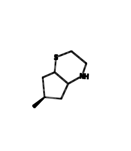 C[C@@H]1CC2NCCSC2C1